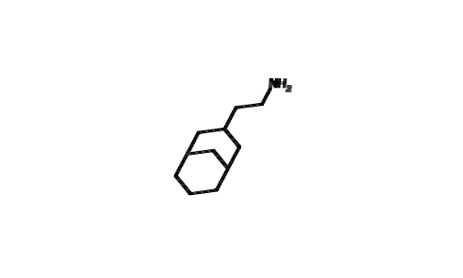 NCCC1CC2CCCC(C1)C2